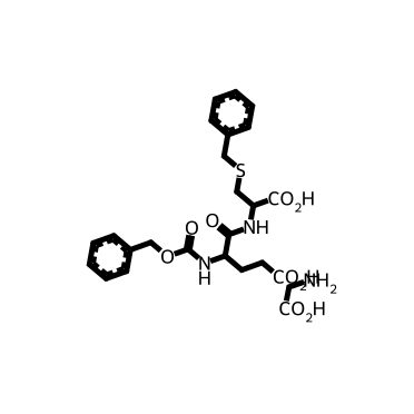 NCC(=O)O.O=C(O)CCC(NC(=O)OCc1ccccc1)C(=O)NC(CSCc1ccccc1)C(=O)O